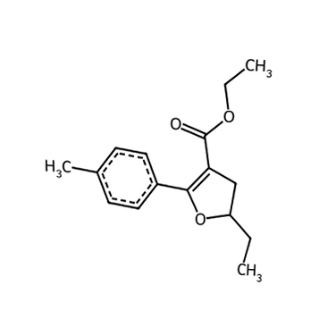 CCOC(=O)C1=C(c2ccc(C)cc2)OC(CC)C1